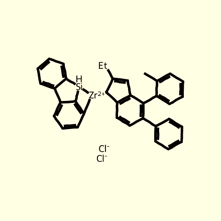 CCC1=Cc2c(ccc(-c3ccccc3)c2-c2ccccc2C)[CH]1[Zr+2]1[c]2cccc3c2[SiH]1c1ccccc1-3.[Cl-].[Cl-]